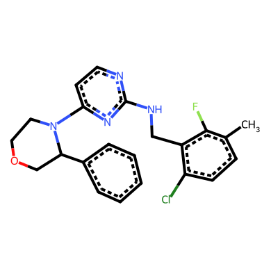 Cc1ccc(Cl)c(CNc2nccc(N3CCOCC3c3ccccc3)n2)c1F